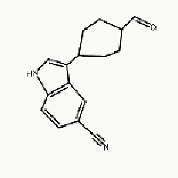 N#Cc1ccc2[nH]cc(C3CCC(C=O)CC3)c2c1